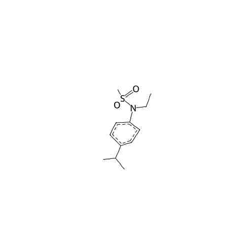 CCN(c1ccc(C(C)C)cc1)S(C)(=O)=O